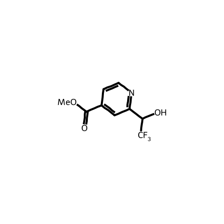 COC(=O)c1ccnc(C(O)C(F)(F)F)c1